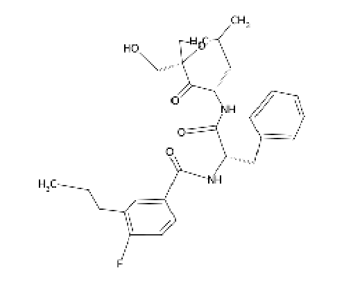 CCCc1cc(C(=O)N[C@@H](Cc2ccccc2)C(=O)N[C@@H](CC(C)C)C(=O)[C@@]2(CO)CO2)ccc1F